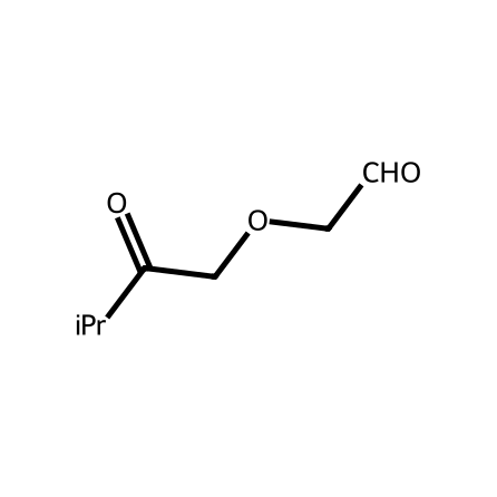 CC(C)C(=O)COCC=O